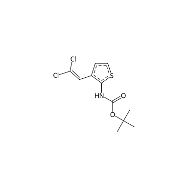 CC(C)(C)OC(=O)Nc1sccc1C=C(Cl)Cl